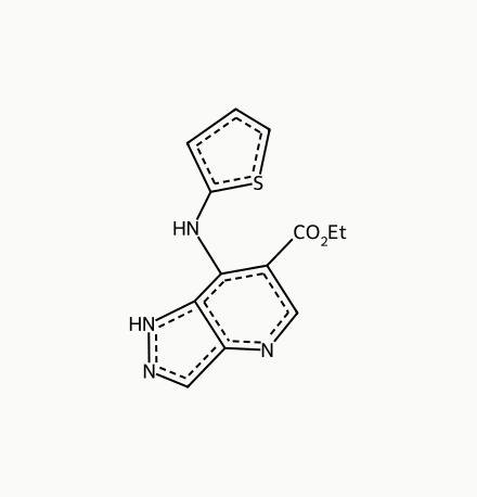 CCOC(=O)c1cnc2cn[nH]c2c1Nc1cccs1